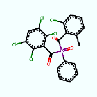 Cc1cccc(Cl)c1C(=O)P(=O)(C(=O)c1c(Cl)c(Cl)cc(Cl)c1Cl)c1ccccc1